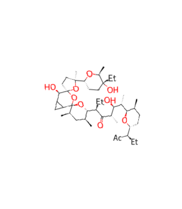 CC[C@@H](C(=O)[C@@H](C)[C@@H](O)[C@H](C)[C@@H]1O[C@@H]([C@@H](CC)C(C)=O)CC[C@@H]1C)[C@H]1O[C@@]2(O[C@@]3(CC[C@@](C)([C@H]4CC[C@](O)(CC)[C@H](C)O4)O3)[C@H](O)C3CC32)[C@H](C)C[C@@H]1C